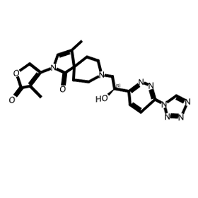 CC1=CN(C2=C(C)C(=O)OC2)C(=O)C12CCN(C[C@H](O)c1ccc(-n3cnnn3)nn1)CC2